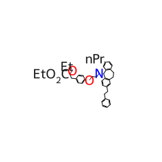 CCCc1ccc2c(c1)C(N(C)CCOc1ccc(CC(OCC)C(=O)OCC)cc1)c1ccc(CCc3ccccc3)cc1CC2